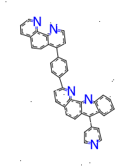 c1cnc2c(c1)ccc1c(-c3ccc(-c4ccc5ccc6c(-c7ccncc7)c7ccccc7nc6c5n4)cc3)ccnc12